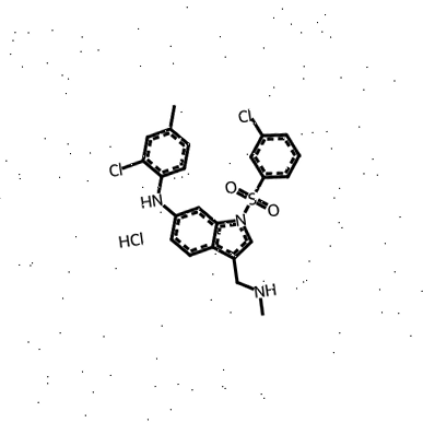 CNCc1cn(S(=O)(=O)c2cccc(Cl)c2)c2cc(Nc3ccc(C)cc3Cl)ccc12.Cl